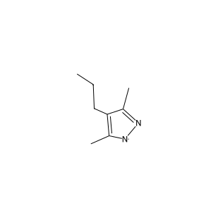 CCCC1=C(C)[N]N=C1C